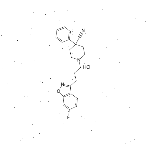 Cl.N#CC1(c2ccccc2)CCN(CCCc2noc3cc(F)ccc23)CC1